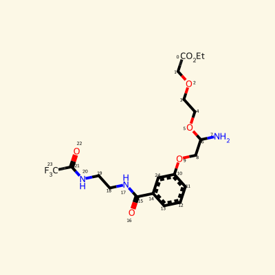 CCOC(=O)COCCOC(N)COc1cccc(C(=O)NCCNC(=O)C(F)(F)F)c1